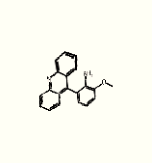 COc1cccc(-c2c3ccccc3nc3ccccc23)c1N